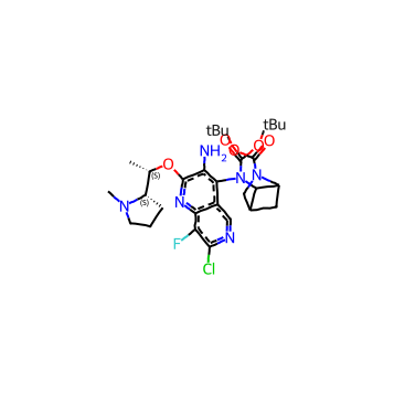 C[C@H](Oc1nc2c(F)c(Cl)ncc2c(N(C(=O)OC(C)(C)C)C2C3CC2N(C(=O)OC(C)(C)C)C3)c1N)[C@@H]1CCCN1C